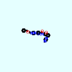 CN1CCN(c2cccc3c2CC(NC(=O)c2ccc(N4CCN(CCOCc5ccccc5)CC4)cc2)CO3)CC1